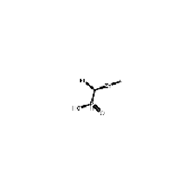 CC[CH]([Zn][CH3])[PH](=O)O